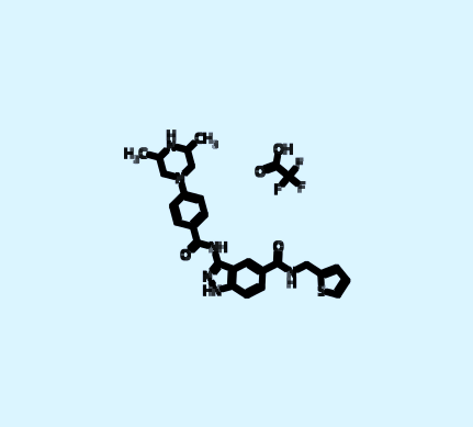 CC1CN(c2ccc(C(=O)Nc3n[nH]c4ccc(C(=O)NCc5cccs5)cc34)cc2)CC(C)N1.O=C(O)C(F)(F)F